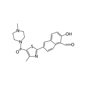 Cc1nc(-c2ccc3c(C=O)c(O)ccc3c2)sc1C(=O)N1CCN(C)CC1